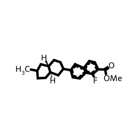 COC(=O)c1ccc2cc(C3CC[C@H]4CC(C)CC[C@@H]4C3)ccc2c1F